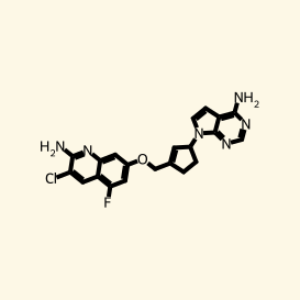 Nc1nc2cc(OCC3=CC(n4ccc5c(N)ncnc54)CC3)cc(F)c2cc1Cl